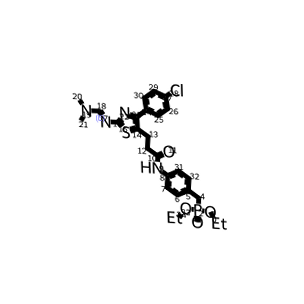 CCOP(=O)(Cc1ccc(NC(=O)CCc2sc(/N=C/N(C)C)nc2-c2ccc(Cl)cc2)cc1)OCC